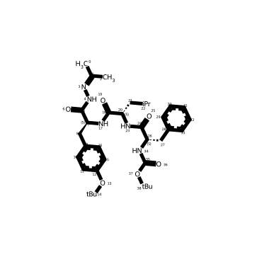 CC(C)=NNC(=O)[C@H](Cc1ccc(OC(C)(C)C)cc1)NC(=O)[C@H](CC(C)C)NC(=O)[C@H](Cc1ccccc1)NC(=O)OC(C)(C)C